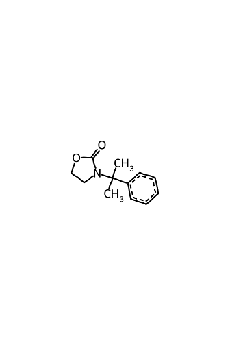 CC(C)(c1ccccc1)N1CCOC1=O